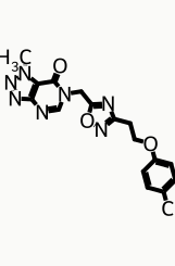 Cn1nnc2ncn(Cc3nc(CCOc4ccc(Cl)cc4)no3)c(=O)c21